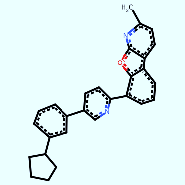 Cc1ccc2c(n1)oc1c(-c3ccc(-c4cccc(C5CCCC5)c4)cn3)cccc12